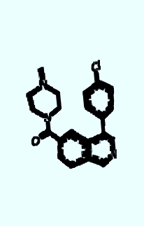 CN1CCN(C(=O)c2ccc3cncc(-c4ccc(Cl)cc4)c3c2)CC1